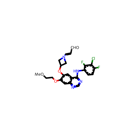 COCCOc1cc2ncnc(Nc3ccc(F)c(Cl)c3F)c2cc1OC1CN(C=CC=O)C1